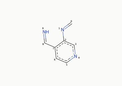 C=Nc1cnccc1C=N